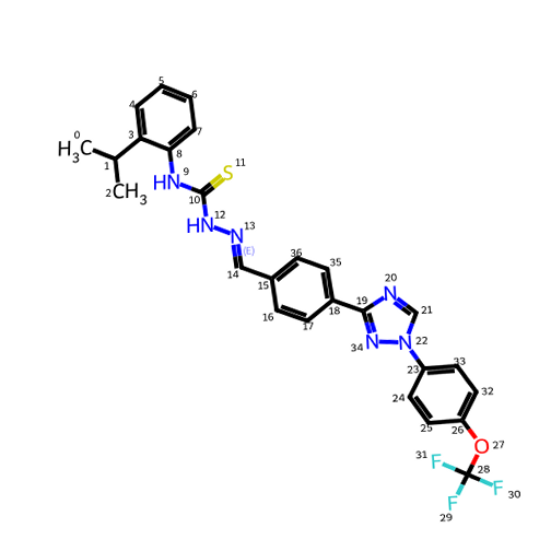 CC(C)c1ccccc1NC(=S)N/N=C/c1ccc(-c2ncn(-c3ccc(OC(F)(F)F)cc3)n2)cc1